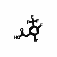 O=C(O)Cc1cc(C(F)(F)F)c(F)cc1Br